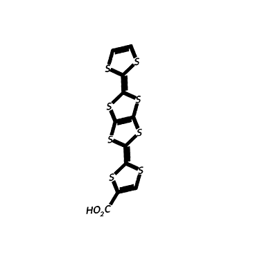 O=C(O)C1=CSC(=C2SC3=C(SC(=C4SC=CS4)S3)S2)S1